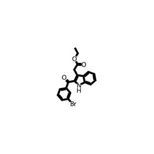 CCOC(=O)Cc1c(C(=O)c2cccc(Br)c2)[nH]c2ccccc12